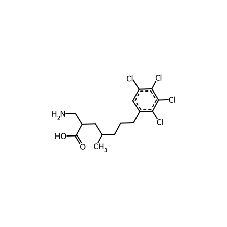 CC(CCCc1cc(Cl)c(Cl)c(Cl)c1Cl)CC(CN)C(=O)O